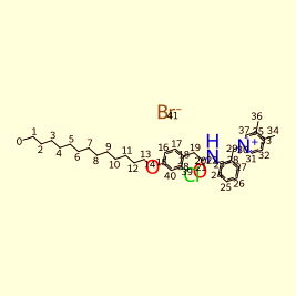 CCCCCCCCCCCCCCOc1ccc(CC(=O)Nc2ccccc2C[n+]2ccc(C)c(C)c2)c(Cl)c1.[Br-]